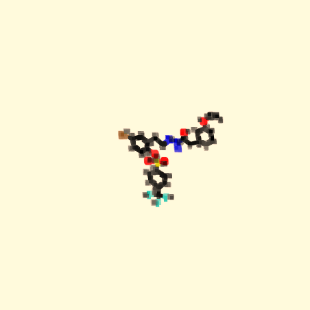 COc1cccc(CC(=O)N/N=C/Cc2cc(Br)ccc2OS(=O)(=O)c2ccc(C(F)(F)F)cc2)c1